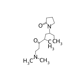 CCC(CC(C)C(=O)CCN(C)C)N1CCCC1=O